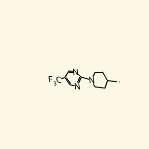 [CH2]C1CCN(c2ncc(C(F)(F)F)cn2)CC1